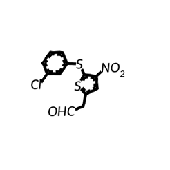 O=CCc1cc([N+](=O)[O-])c(Sc2cccc(Cl)c2)s1